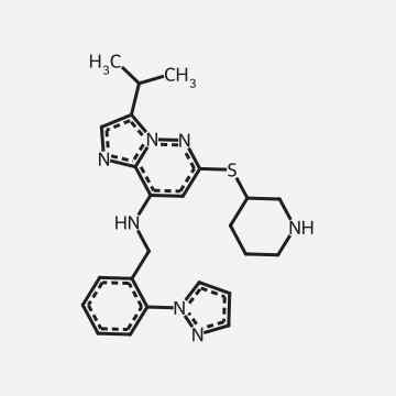 CC(C)c1cnc2c(NCc3ccccc3-n3cccn3)cc(SC3CCCNC3)nn12